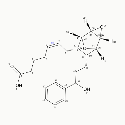 O=C(O)CCC/C=C\C[C@H]1[C@@H](CCC(O)c2ccccc2)[C@@H]2O[C@H]1[C@@H]1O[C@@H]12